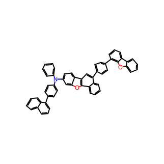 c1ccc(N(c2ccc(-c3cccc4ccccc34)cc2)c2ccc3c(c2)oc2c4ccccc4c(-c4ccc(-c5cccc6c5oc5ccccc56)cc4)cc32)cc1